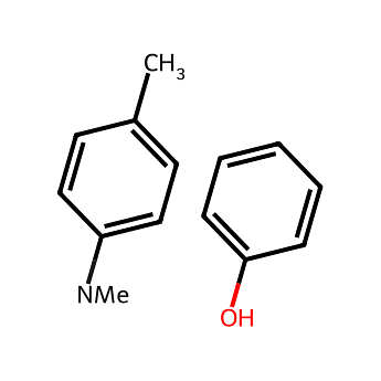 CNc1ccc(C)cc1.Oc1ccccc1